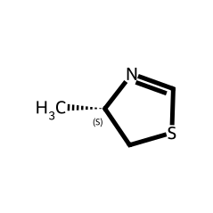 C[C@H]1CSC=N1